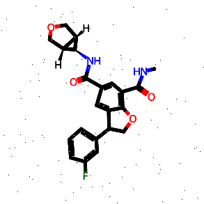 CNC(=O)c1cc(C(=O)N[C@H]2[C@@H]3COC[C@@H]32)cc2c1OCC2c1cccc(F)c1